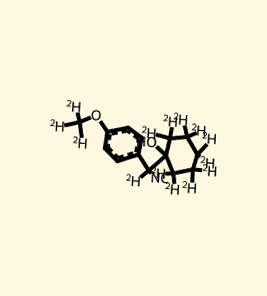 [2H]C([2H])([2H])Oc1ccc(C([2H])([N+]#[C-])C2(O)C([2H])([2H])C([2H])([2H])C([2H])([2H])C([2H])([2H])C2([2H])[2H])cc1